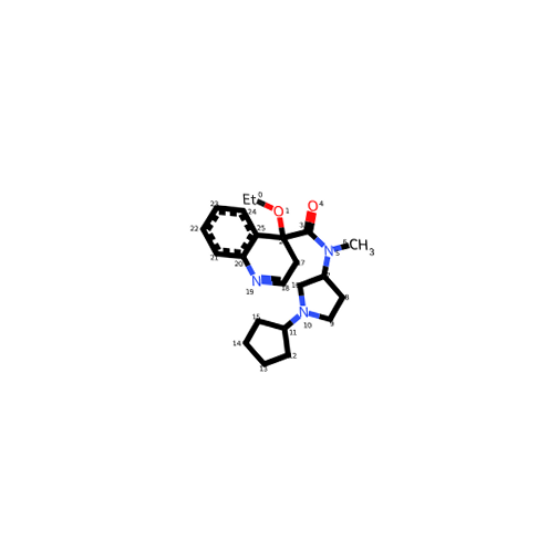 CCOC1(C(=O)N(C)C2CCN(C3CCCC3)C2)CC=Nc2ccccc21